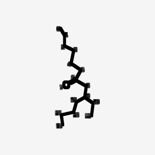 CCCCCCC(=O)CC(CC)CCCC